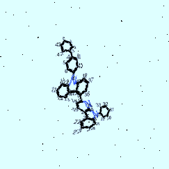 c1ccc(-c2ccc(-n3c4ccccc4c4c(-c5ccc6c7ccccc7n(-c7ccccc7)c6n5)cccc43)cc2)cc1